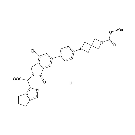 CC(C)(C)OC(=O)N1CC2(C1)CN(c1ccc(-c3cc(Cl)c4c(c3)C(=O)N(C(C(=O)[O-])c3ncn5c3CCC5)C4)cc1)C2.[Li+]